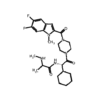 CNC(C)C(=O)N[C@H](C(=O)N1CCN(C(=O)c2cc3cc(F)c(F)cc3n2C)CC1)C1CCCCC1